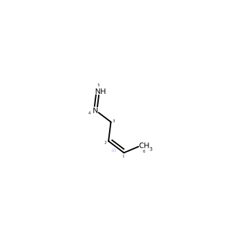 C/C=C\CN=N